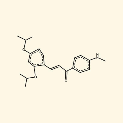 CNc1ccc(C(=O)C=Cc2ccc(OC(C)C)cc2OC(C)C)cc1